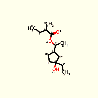 CCC(C)C(=O)OC(C)C1CCC(O)(CC)C1